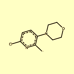 [CH2]c1nc(Cl)ccc1N1CCOCC1